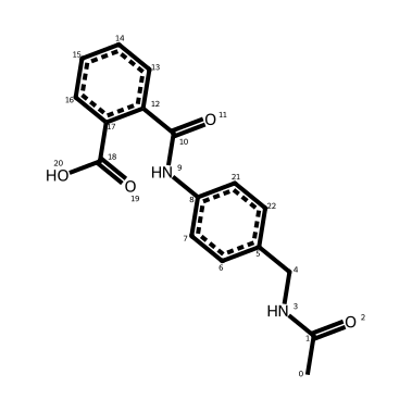 CC(=O)NCc1ccc(NC(=O)c2ccccc2C(=O)O)cc1